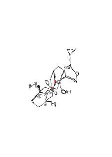 CN1CC2CCC(C1)N2S(=O)(=O)N1[C@@H]2CC[C@H]1C[C@@H](NC(O)c1cc(C3CC3)on1)C2